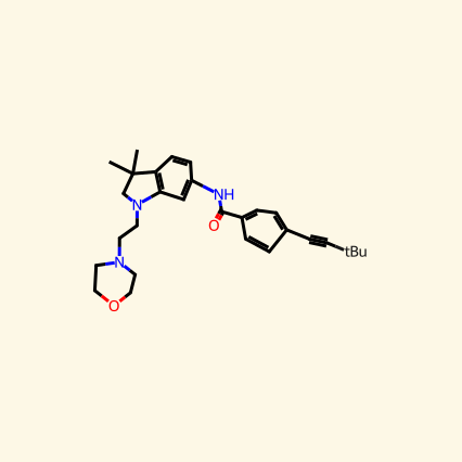 CC(C)(C)C#Cc1ccc(C(=O)Nc2ccc3c(c2)N(CCN2CCOCC2)CC3(C)C)cc1